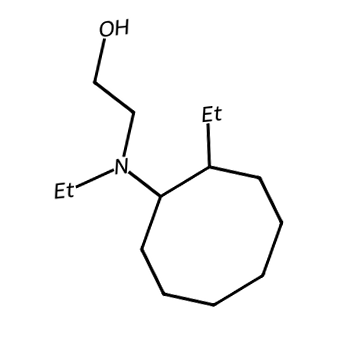 CCC1CCCCCCC1N(CC)CCO